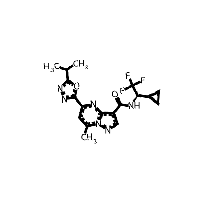 Cc1cc(-c2nnc(C(C)C)o2)nc2c(C(=O)N[C@H](C3CC3)C(F)(F)F)cnn12